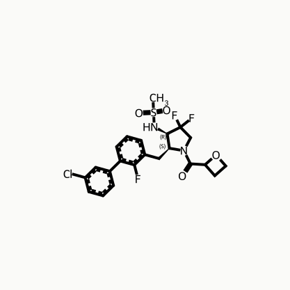 CS(=O)(=O)N[C@@H]1[C@H](Cc2cccc(-c3cccc(Cl)c3)c2F)N(C(=O)C2CCO2)CC1(F)F